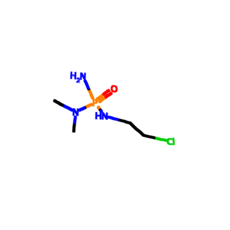 CN(C)P(N)(=O)NCCCl